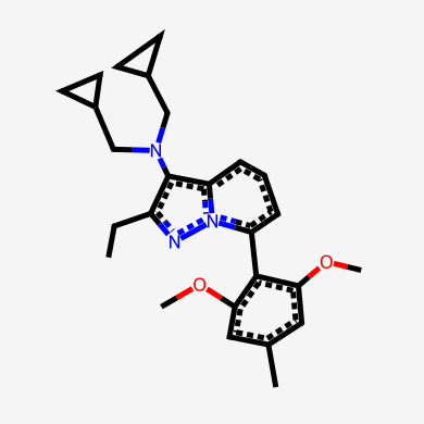 CCc1nn2c(-c3c(OC)cc(C)cc3OC)cccc2c1N(CC1CC1)CC1CC1